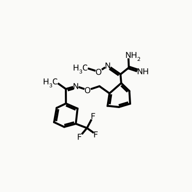 CO/N=C(/C(=N)N)c1ccccc1CON=C(C)c1cccc(C(F)(F)F)c1